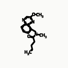 C=CCCC(=O)N(C)Cc1cccc2ncc(OC)nc12